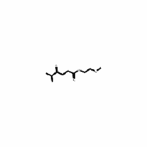 COCCOC(=O)CCC(=O)C(C)C